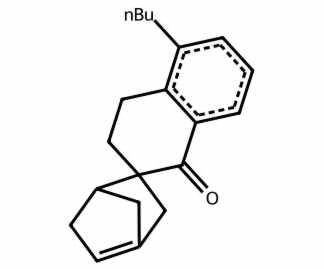 CCCCc1cccc2c1CCC1(CC3=CCC1C3)C2=O